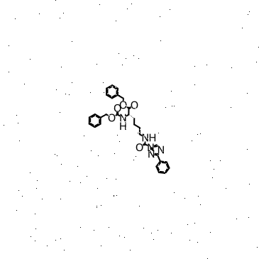 O=C(N[C@@H](CCCCNC(=O)n1cnc(-c2ccccc2)n1)C(=O)OCc1ccccc1)OCc1ccccc1